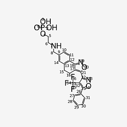 O=P(O)(O)OCCNCc1ccc2c(c1)CCc1c-2noc1-c1noc(-c2ccccc2)c1C(F)(F)F